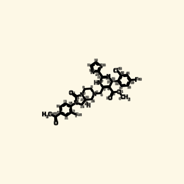 COC(=O)C1=C(CN2CCN3C(=O)N(c4ccc(C(C)=O)cc4F)C[C@@H]3C2)NC(c2nccs2)=N[C@H]1c1ccc(F)cc1Cl